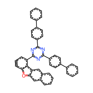 c1cc(-c2nc(-c3ccc(-c4ccccc4)cc3)nc(-c3ccc(-c4ccccc4)cc3)n2)c2c(c#1)oc1cc3ccccc3cc12